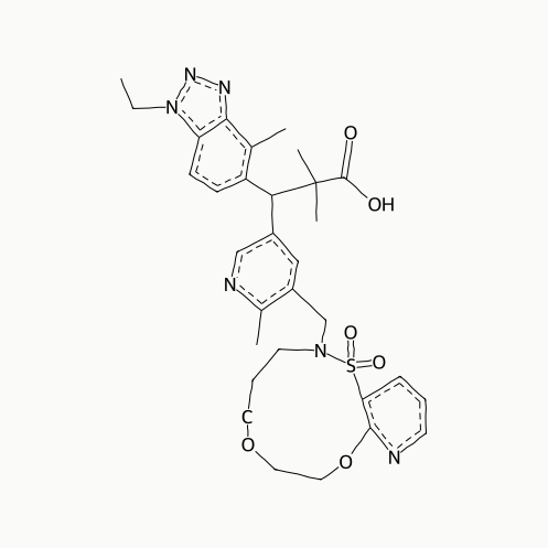 CCn1nnc2c(C)c(C(c3cnc(C)c(CN4CCCOCCOc5ncccc5S4(=O)=O)c3)C(C)(C)C(=O)O)ccc21